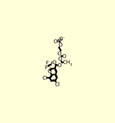 CC(OC(=O)OCCO[N+](=O)[O-])OC(=O)C1=Cc2cc(Cl)cc(Cl)c2O[C@@H]1C(F)(F)F